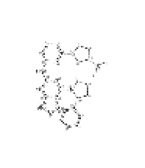 CN(C)[C@H]1CCN(c2cccc(Nc3nc(N4OCC[C@@H]4c4ccccc4)c4cc[nH]c4n3)c2)C1